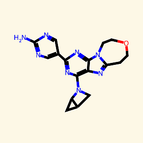 Nc1ncc(-c2nc(N3CC4CC43)c3nc4n(c3n2)CCOCC4)cn1